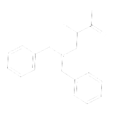 CC(=O)C(F)CN(Cc1ccccc1)Cc1ccccc1